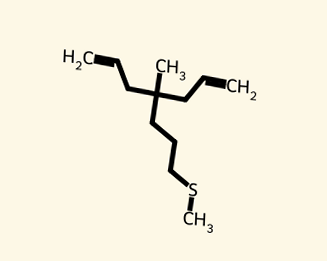 C=CCC(C)(CC=C)CCCSC